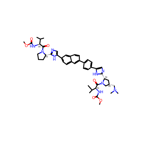 COC(=O)N[C@H](C(=O)N1CCC[C@H]1c1ncc(-c2ccc3cc(-c4ccc(-c5cnc([C@@H]6C[C@H](CN(C)C)CN6C(=O)[C@@H](NC(=O)OC)C(C)C)[nH]5)cc4)ccc3c2)[nH]1)C(C)C